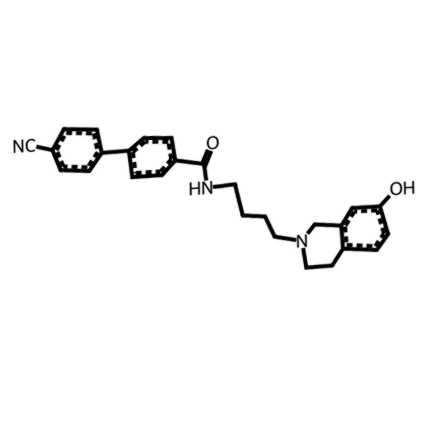 N#Cc1ccc(-c2ccc(C(=O)NCCCCN3CCc4ccc(O)cc4C3)cc2)cc1